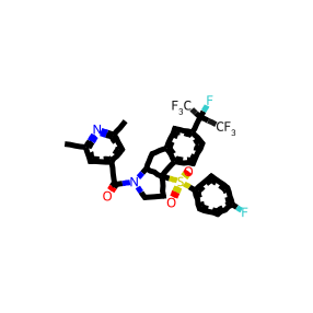 Cc1cc(C(=O)N2CCC3(S(=O)(=O)c4ccc(F)cc4)c4ccc(C(F)(C(F)(F)F)C(F)(F)F)cc4CC23)cc(C)n1